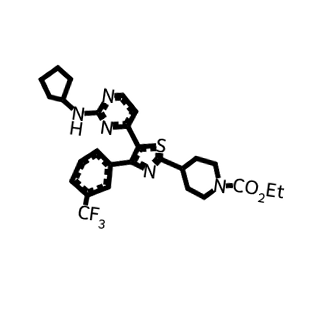 CCOC(=O)N1CCC(c2nc(-c3cccc(C(F)(F)F)c3)c(-c3ccnc(NC4CCCC4)n3)s2)CC1